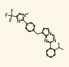 CC(C)c1ccccc1-c1ncn2ccc(Cc3ccc(-c4nc(C(F)(F)F)cn4C)cc3)c2n1